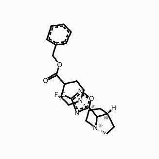 O=C(OCc1ccccc1)C1CCN([C@@H]2C[C@@H]3CC[N@](C2)C3c2nc(C(F)(F)F)no2)CC1